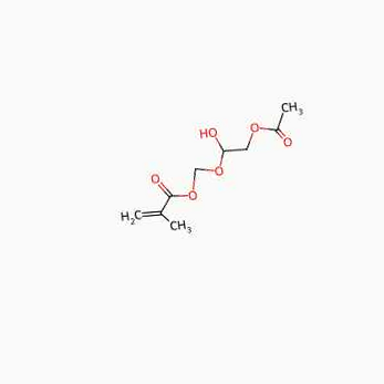 C=C(C)C(=O)OCOC(O)COC(C)=O